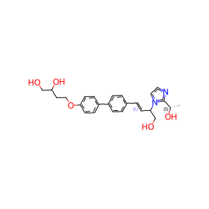 C[C@H](O)c1nccn1C(/C=C/c1ccc(-c2ccc(OCCC(O)CO)cc2)cc1)CO